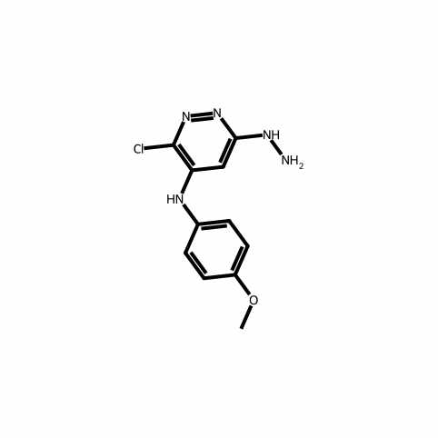 COc1ccc(Nc2cc(NN)nnc2Cl)cc1